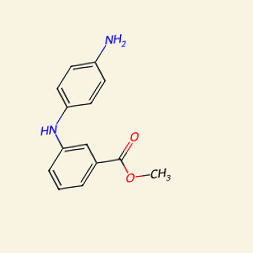 COC(=O)c1cccc(Nc2ccc(N)cc2)c1